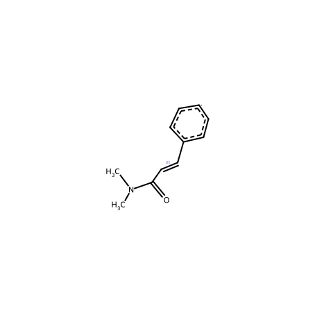 CN(C)C(=O)/C=C/c1cc[c]cc1